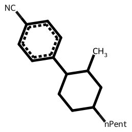 CCCCCC1CCC(c2ccc(C#N)cc2)C(C)C1